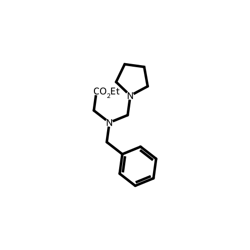 CCOC(=O)CN(Cc1ccccc1)CN1CCCC1